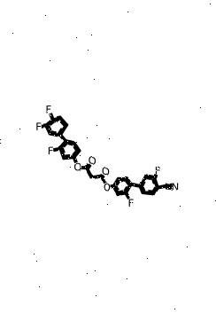 N#Cc1ccc(-c2ccc(OC(=O)CC(=O)Oc3ccc(-c4ccc(F)c(F)c4)c(F)c3)cc2F)cc1F